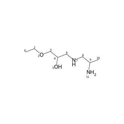 CCOCC(O)CNCC(C)N